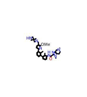 COc1nc(-c2cccc(-c3cccc(NC(=O)c4nc5c(n4C)CCN(C)C5)c3C)c2C)ccc1CN1CC2(CNC2)C1